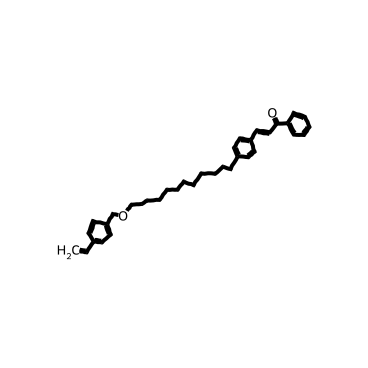 C=Cc1ccc(COCCCCCCCCCCCCc2ccc(C=CC(=O)c3ccccc3)cc2)cc1